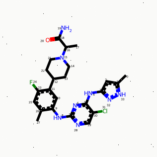 Cc1cc(Nc2nc(Nc3cc(C4CCN(C(C)C(N)=O)CC4)c(F)cc3C)ncc2Cl)n[nH]1